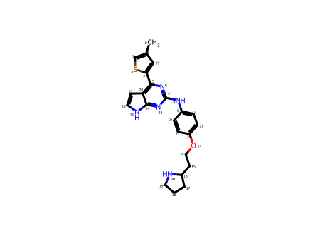 Cc1csc(-c2nc(Nc3ccc(OCCC4CCCN4)cc3)nc3[nH]ccc23)c1